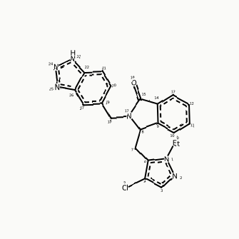 CCn1ncc(Cl)c1CC1c2ccccc2C(=O)N1Cc1ccc2[nH]nnc2c1